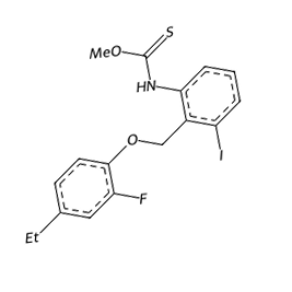 CCc1ccc(OCc2c(I)cccc2NC(=S)OC)c(F)c1